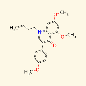 C=CCCn1cc(-c2ccc(OC)cc2)c(=O)c2c(OC)cc(OC)cc21